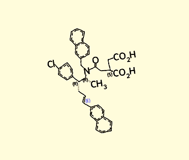 C[C@H]([C@H](C/C=C/c1ccc2ccccc2c1)c1ccc(Cl)cc1)N(Cc1ccc2ccccc2c1)C(=O)C[C@@H](CC(=O)O)C(=O)O